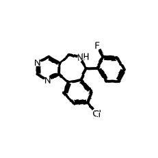 Fc1ccccc1C1NCc2cncnc2-c2ccc(Cl)cc21